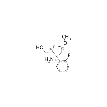 CO[C@H]1C[C@@H](CO)[C@](N)(c2ccccc2F)C1